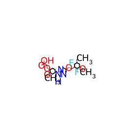 CCc1cc(OC)c(F)c(COc2cnc(Nc3ccc(OCC(=O)O)c(OC)c3)nc2)c1F